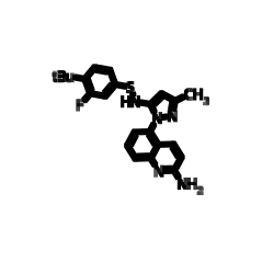 Cc1cc(NSc2ccc(C(C)(C)C)c(F)c2)n(-c2cccc3nc(N)ccc23)n1